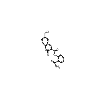 NC(=O)c1ccccc1OC(=O)c1cc2cc(CCl)ccc2oc1=O